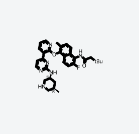 Cc1ccc2c(NC(=O)CC(C)(C)C)c(F)ccc2c1Oc1ncccc1-c1ccnc(N[C@@H]2CNC[C@H](C)C2)n1